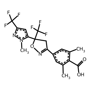 Cc1cc(C2=NOC(c3cc(C(F)(F)F)nn3C)(C(F)(F)F)C2)cc(C)c1C(=O)O